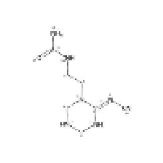 N#C/N=C1\NCNCN1CCNC(N)=O